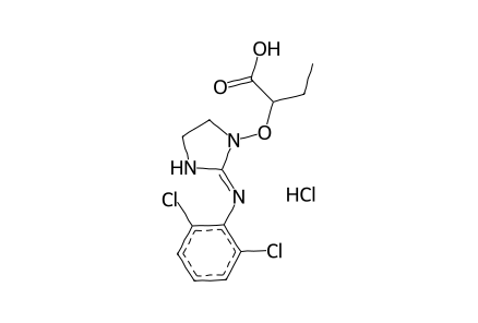 CCC(ON1CCNC1=Nc1c(Cl)cccc1Cl)C(=O)O.Cl